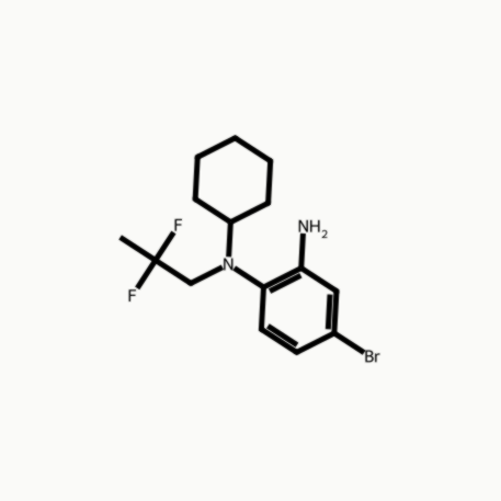 CC(F)(F)CN(c1ccc(Br)cc1N)C1CCCCC1